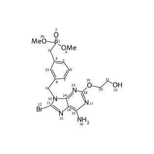 COP(=O)(Cc1cccc(Cn2c(Br)nc3c(N)nc(OCCO)nc32)c1)OC